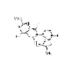 CCc1nc(OC)nc2c(F)c(-c3ccc(F)c4sc(N)c(C#N)c34)c(Cl)cc12